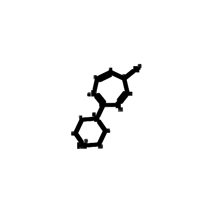 BrC1C=CN=C(N2CCNCC2)N=C1